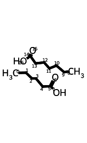 CCCCCC(=O)O.CCCCCCC(=O)O